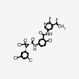 C=C(F)c1cc(NC(=O)c2cc(NC(=O)[C@@H]3[C@@H](c4cc(Cl)cc(Cl)c4)C3(Cl)Cl)ccc2Cl)cnc1F